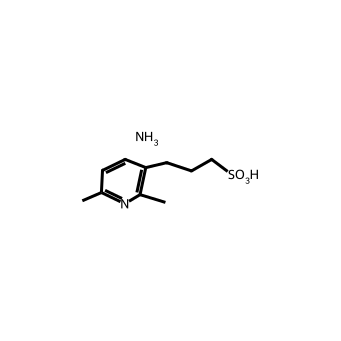 Cc1ccc(CCCS(=O)(=O)O)c(C)n1.N